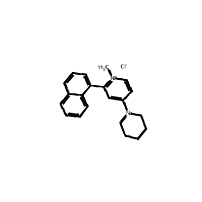 C[n+]1ccc(N2CCCCC2)cc1-c1cccc2ccccc12.[Cl-]